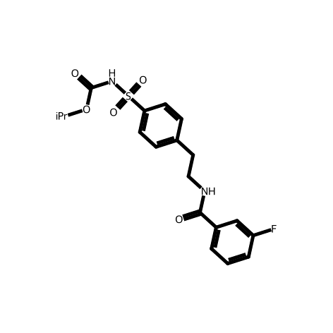 CC(C)OC(=O)NS(=O)(=O)c1ccc(CCNC(=O)c2cccc(F)c2)cc1